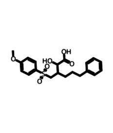 COc1ccc(S(=O)(=O)CC(CCCc2ccccc2)C(O)C(=O)O)cc1